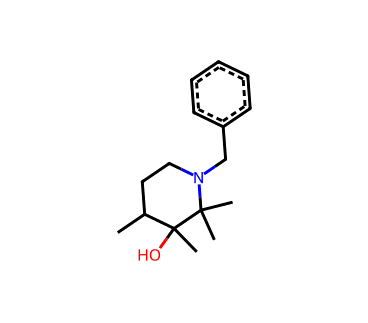 CC1CCN(Cc2ccccc2)C(C)(C)C1(C)O